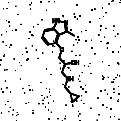 Cc1n[nH]c2cccc(OC[C@@H](O)CNCC3CC3)c12